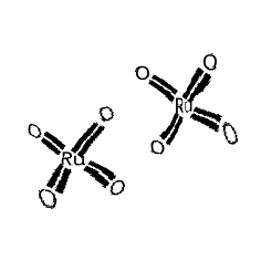 [O]=[Ru](=[O])(=[O])=[O].[O]=[Ru](=[O])(=[O])=[O]